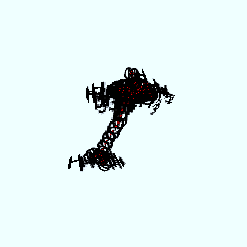 CC[C@H](C)[C@@H]([C@H](CC(=O)N1CCC[C@H]1[C@H](OC)[C@@H](C)C(=O)N[C@@H](C)[C@H](O)c1ccccc1)OC)N(C)C(=O)[C@@H](NC(=O)[C@H](C(C)C)N(C)C(=O)OC(Cc1cnnn1CCOCCOCCOCCOCCOCCOCCOCCOCCN(C[C@H](O)[C@@H](O)[C@H](O)[C@H](O)CO)C[C@H](O)[C@@H](O)[C@H](O)[C@H](O)CO)c1ccc(NC(=O)[C@H](CCCNC(N)=O)NC(=O)[C@@H](NC(=O)CCCCCN2C(=O)C=CC2=O)C(C)C)cc1)C(C)C